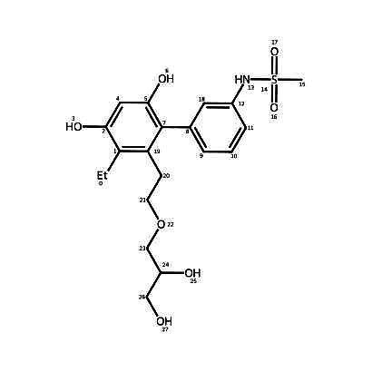 CCc1c(O)cc(O)c(-c2cccc(NS(C)(=O)=O)c2)c1CCOCC(O)CO